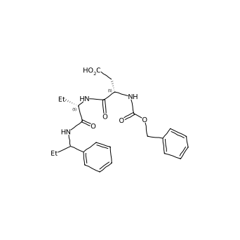 CCC(NC(=O)[C@H](CC)NC(=O)[C@H](CC(=O)O)NC(=O)OCc1ccccc1)c1ccccc1